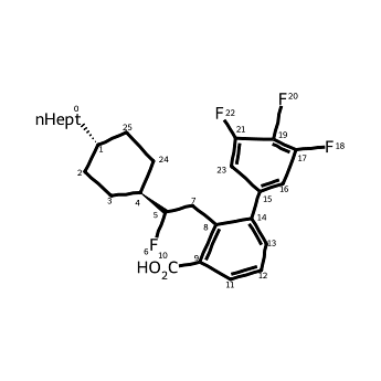 CCCCCCC[C@H]1CC[C@H](C(F)Cc2c(C(=O)O)cccc2-c2cc(F)c(F)c(F)c2)CC1